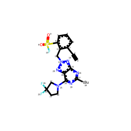 C#Cc1cccc(S(=O)(=O)F)c1Cn1nc2nc(C(C)(C)C)nc(N3CCC(F)(F)C3)c2n1